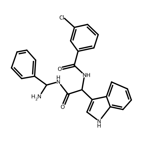 NC(NC(=O)C(NC(=O)c1cccc(Cl)c1)c1c[nH]c2ccccc12)c1ccccc1